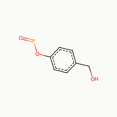 O=POc1ccc(CO)cc1